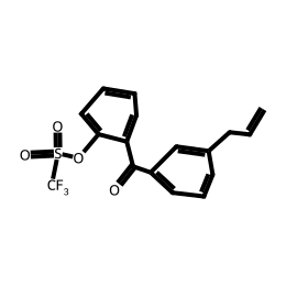 C=CCc1cccc(C(=O)c2ccccc2OS(=O)(=O)C(F)(F)F)c1